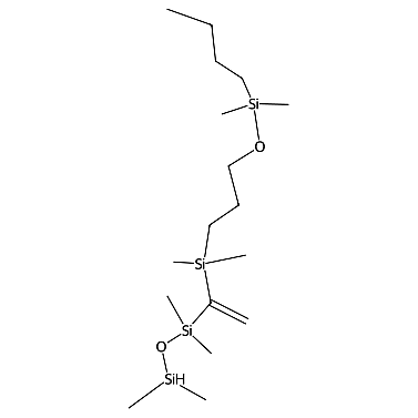 C=C([Si](C)(C)CCCO[Si](C)(C)CCCC)[Si](C)(C)O[SiH](C)C